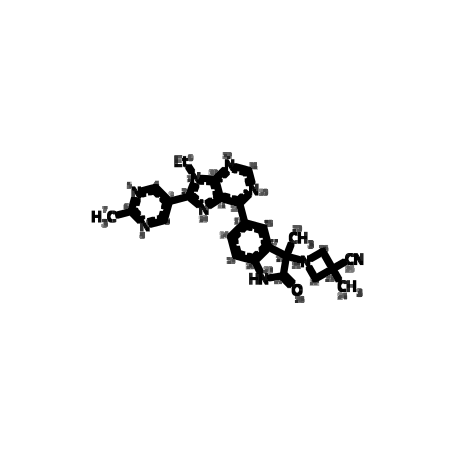 CCn1c(-c2cnc(C)nc2)nc2c(-c3ccc4c(c3)C(C)(N3CC(C)(C#N)C3)C(=O)N4)ncnc21